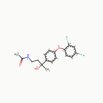 CC(=O)NCCC(C)(O)c1ccc(Oc2ccc(F)cc2F)cc1